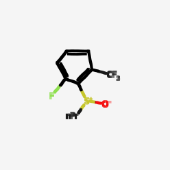 CCC[S+]([O-])c1c(F)cccc1C(F)(F)F